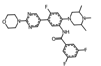 CC1CN(c2cc(F)c(-c3cnc(N4CCOCC4)nc3)cc2NC(=O)c2cc(F)cc(F)c2)CC(C)N1C